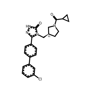 O=C(C1CC1)N1CC[C@@H](Cn2c(-c3ccc(-c4cccc(Cl)c4)cc3)n[nH]c2=O)C1